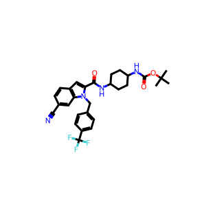 CC(C)(C)OC(=O)NC1CCC(NC(=O)c2cc3ccc(C#N)cc3n2Cc2ccc(C(F)(F)F)cc2)CC1